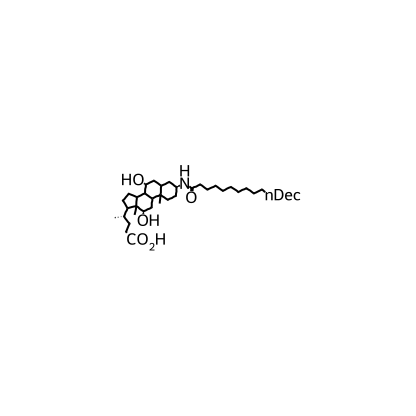 CCCCCCCCCCCCCCCCCCCC(=O)N[C@H]1CCC2(C)C(C1)C[C@H](O)C1C2C[C@@H](O)C2(C)C1CCC2[C@@H](C)CCC(=O)O